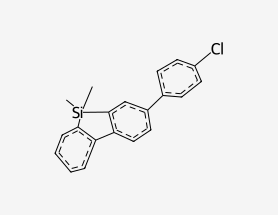 C[Si]1(C)c2ccccc2-c2ccc(-c3ccc(Cl)cc3)cc21